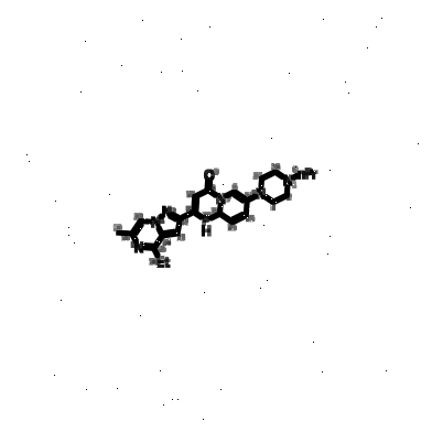 CCCN1CCN(C2=CN3C(=O)C=C(c4cc5c(CC)nc(C)cn5n4)PC3C=C2)CC1